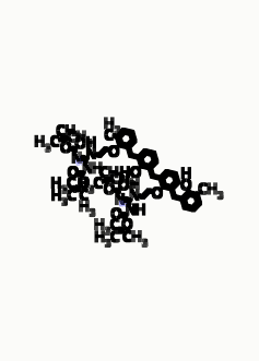 Cc1cccc(Cc2cccc(Cc3cccc(Cc4cccc(C)c4OCCN/C(=N\C(=O)OC(C)(C)C)NC(=O)OC(C)(C)C)c3O)c2OCCN/C(=N\C(=O)OC(C)(C)C)NC(=O)OC(C)(C)C)c1O